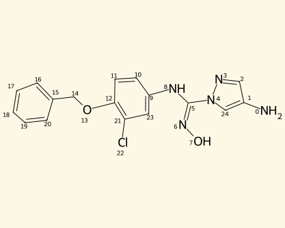 Nc1cnn(C(=NO)Nc2ccc(OCc3ccccc3)c(Cl)c2)c1